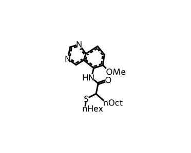 CCCCCCCCC(SCCCCCC)C(=O)Nc1c(OC)ccc2ncncc12